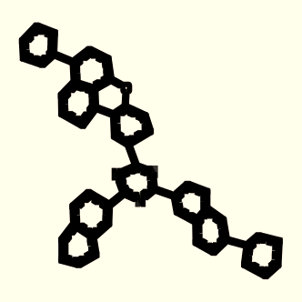 c1ccc(-c2ccc3cc(-c4nc(-c5ccc6c(c5)-c5cccc7c(-c8ccccc8)ccc(c57)O6)nc(-c5ccc6ccccc6c5)n4)ccc3c2)cc1